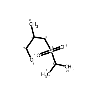 CC(C[O])CS(=O)(=O)C(C)C